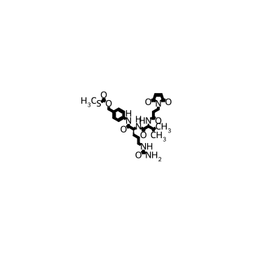 CSC(=O)OCc1ccc(NC(=O)[C@H](CCCNC(N)=O)NC(=O)[C@@H](NC(=O)CCN2C(=O)C=CC2=O)C(C)C)cc1